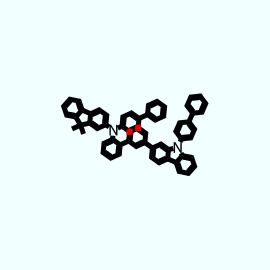 CC1(C)c2ccccc2-c2ccc(N(c3ccc(-c4ccccc4)cc3)c3ccccc3-c3cccc(-c4ccc5c6ccccc6n(-c6ccc(-c7ccccc7)cc6)c5c4)c3)cc21